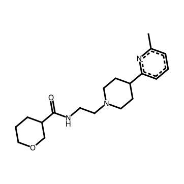 Cc1cccc(C2CCN(CCNC(=O)C3CCCOC3)CC2)n1